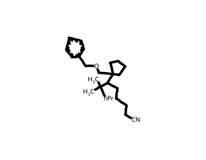 CCCC(C)(C)C(CCCCC#N)C1(COCc2ccccc2)CCCC1